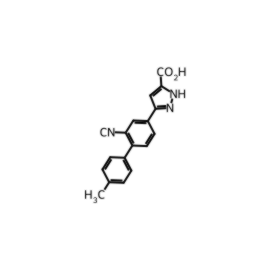 [C-]#[N+]c1cc(-c2cc(C(=O)O)[nH]n2)ccc1-c1ccc(C)cc1